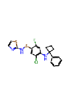 Fc1cc(NC2(c3ccccc3)CCC2)c(Cl)cc1SNc1nccs1